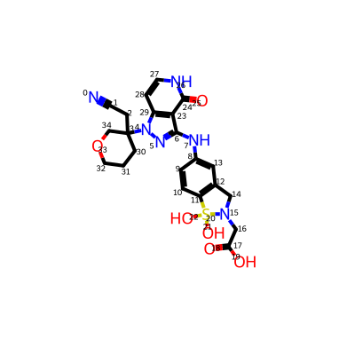 N#CCC1(n2nc(Nc3ccc4c(c3)CN(CC(=O)O)S4(O)O)c3c(=O)[nH]ccc32)CCCOC1